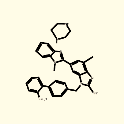 C1CNCCN1.CCCc1nc2c(C)cc(-c3nc4ccccc4n3C)cc2n1Cc1ccc(-c2ccccc2C(=O)O)cc1